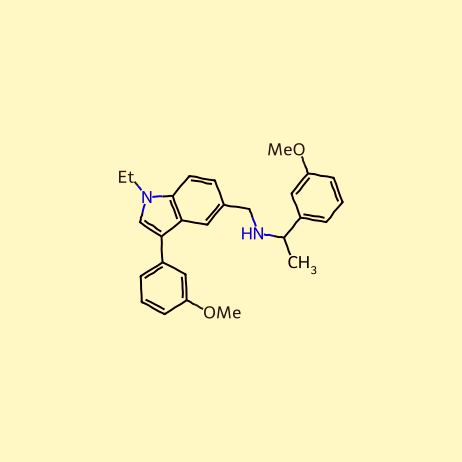 CCn1cc(-c2cccc(OC)c2)c2cc(CNC(C)c3cccc(OC)c3)ccc21